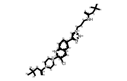 C=C(CC(C)(C)C)NCCCn1cc(-c2ccc3nc(N4CCN(C(=C)CC(C)(C)C)CC4)c(Cl)cc3c2)nn1